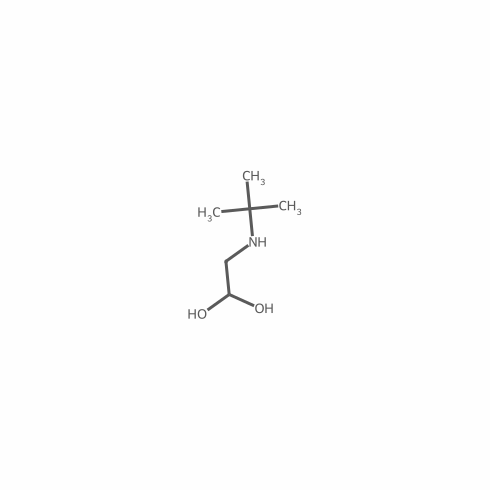 CC(C)(C)NCC(O)O